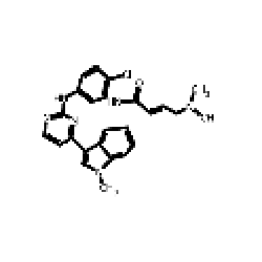 CN(C)C/C=C/C(=O)Nc1cc(Nc2nccc(-c3cn(C)c4ccccc34)n2)ccc1Cl